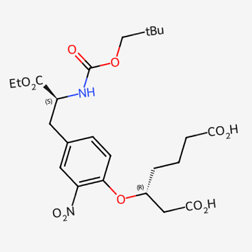 CCOC(=O)[C@H](Cc1ccc(O[C@H](CCCC(=O)O)CC(=O)O)c([N+](=O)[O-])c1)NC(=O)OCC(C)(C)C